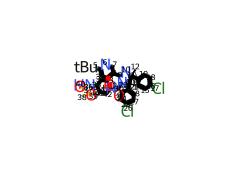 CCOc1cc(C(C)(C)C)ncc1C1=N[C@](C)(c2ccc(Cl)cc2)[C@@](C)(c2ccc(Cl)cc2)N1C(=O)N1CCC(NS(C)(=O)=O)CC1